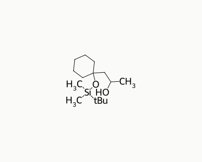 CC(O)CC1(O[Si](C)(C)C(C)(C)C)CCCCC1